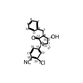 C[C@H]1[C@@H](O)[C@H](Cc2ccccc2)C(=O)N1c1ccc(C#N)c(Cl)c1